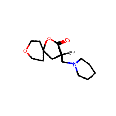 CCC1(CN2CCCCC2)CC2(CCOCC2)OC1=O